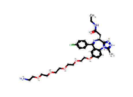 CCNC(=O)C[C@@H]1N=C(c2ccc(Cl)cc2)c2cc(OCCOCCOCCOCCOCCN)ccc2-n2c(C)nnc21